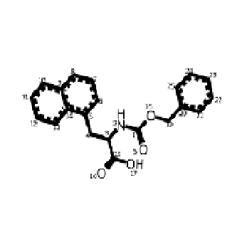 O=C(NC(Cc1cccc2ccccc12)C(=O)O)OCc1ccccc1